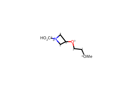 COCCOC1CN(C(=O)O)C1